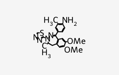 COc1cc2c(cc1OC)C(c1ccc(N)c(C)c1)=NN(c1nncs1)C(C)C2